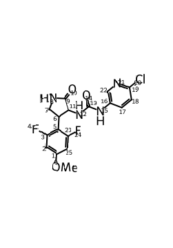 COc1cc(F)c(C2CNC(=O)C2NC(=O)Nc2ccc(Cl)nc2)c(F)c1